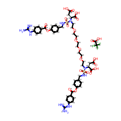 N=C(N)Nc1ccc(C(=O)Oc2ccc(CNS(=O)(=O)N(CCOCCOCCOCCOCCN([C@@H](CC(=O)O)C(=O)O)S(=O)(=O)NCc3ccc(OC(=O)c4ccc(NC(=N)N)cc4)cc3)[C@@H](CC(=O)O)C(=O)O)cc2)cc1.O=C(O)C(F)(F)F